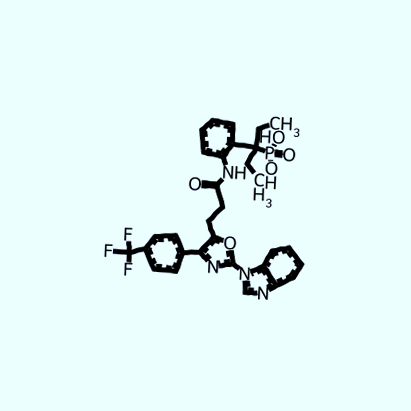 CCC(CC)(c1ccccc1NC(=O)CCc1oc(-n2cnc3ccccc32)nc1-c1ccc(C(F)(F)F)cc1)P(=O)(O)O